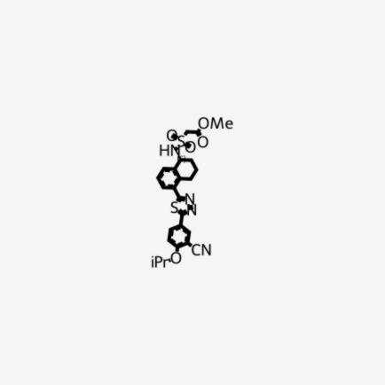 COC(=O)CS(=O)(=O)N[C@H]1CCCc2c(-c3nnc(-c4ccc(OC(C)C)c(C#N)c4)s3)cccc21